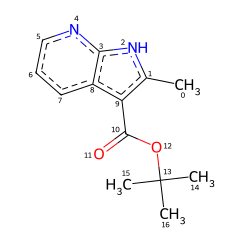 Cc1[nH]c2ncccc2c1C(=O)OC(C)(C)C